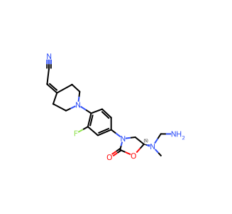 CN(CN)[C@@H]1CN(c2ccc(N3CCC(=CC#N)CC3)c(F)c2)C(=O)O1